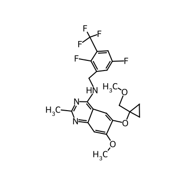 COCC1(Oc2cc3c(NCc4cc(F)cc(C(F)(F)F)c4F)nc(C)nc3cc2OC)CC1